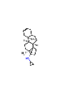 C[C@]12CC[C@H]3[C@@H](CCC4CC=CC[C@@]43C)[C@@H]1CC[C@@H]2NC1CC1